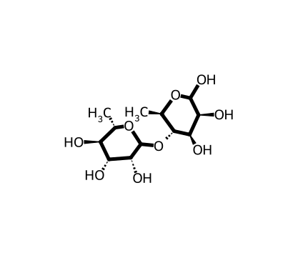 C[C@@H]1OC(O[C@H]2[C@H](O)[C@H](O)C(O)O[C@@H]2C)[C@H](O)[C@H](O)[C@H]1O